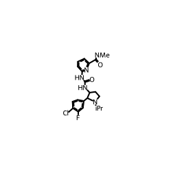 CNC(=O)c1cccc(NC(=O)NC2CCN(C(C)C)C2c2ccc(Cl)c(F)c2)n1